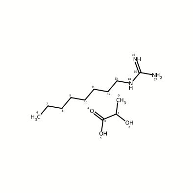 CC(O)C(=O)O.CCCCCCCCNC(=N)N